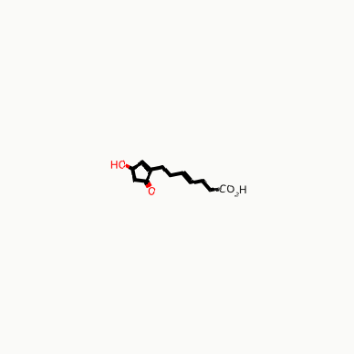 O=C(O)CCC=CCCC1=CC(O)CC1=O